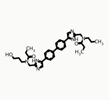 CCCN(Cc1ncc(-c2ccc(-c3ccc(-c4cnc(CN(CCCO)C(=O)CC)[nH]4)cc3)cc2)[nH]1)C(=O)CC